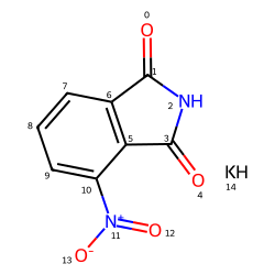 O=C1NC(=O)c2c1cccc2[N+](=O)[O-].[KH]